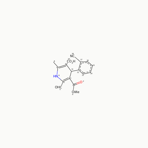 COC(=O)C1=C(C=O)NC(C)=C(C(=O)O)C1c1ccccc1C#N